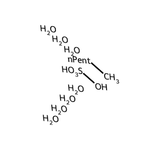 CCCCCC.O.O.O.O.O.O.O.O=S(=O)(O)O